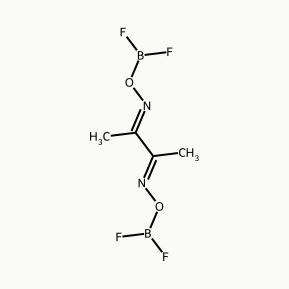 CC(=N\OB(F)F)/C(C)=N/OB(F)F